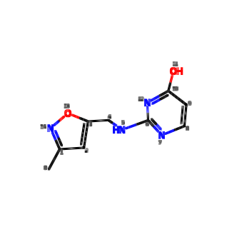 Cc1cc(CNc2nccc(O)n2)on1